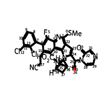 CSc1nc2c(F)c(-c3cccc(Cl)c3Cl)c(CCC#N)cc2c2c1cc(C(C)n1ccncc1=O)n2[C@H]1[C@@H]2C[C@H]1N(C(=O)O)C2